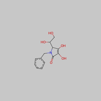 O=C1C(O)=C(O)C(C(O)CO)N1Cc1ccccc1